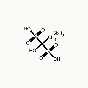 CC(O)(S(=O)(=O)O)S(=O)(=O)O.[SbH3]